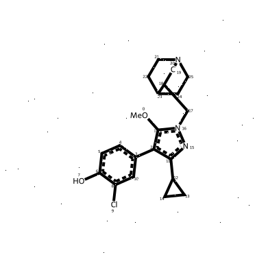 COc1c(-c2ccc(O)c(Cl)c2)c(C2CC2)nn1CC1CN2CCC1CC2